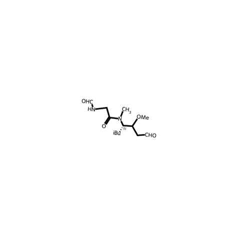 CCC(C)[C@@H](C(CC=O)OC)N(C)C(=O)CNC=O